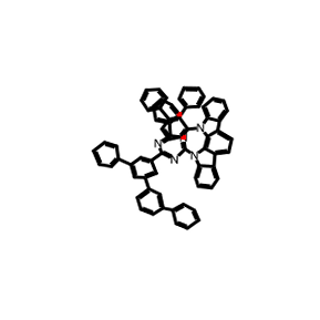 c1ccc(-c2cccc(-c3cc(-c4ccccc4)cc(-c4nc(-c5ccccc5)nc(-n5c6ccccc6c6ccc7c8ccccc8n(-c8cccc(-c9ccccc9)c8-c8ccccc8)c7c65)n4)c3)c2)cc1